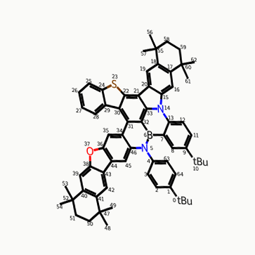 CC(C)(C)c1ccc(N2B3c4cc(C(C)(C)C)ccc4-n4c5cc6c(cc5c5c7sc8ccccc8c7c(c3c54)-c3cc4oc5cc7c(cc5c4cc32)C(C)(C)CCC7(C)C)C(C)(C)CCC6(C)C)cc1